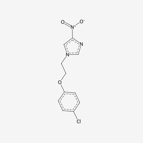 O=[N+]([O-])c1cn(CCOc2ccc(Cl)cc2)cn1